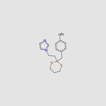 CCCc1ccc(CC2(CCn3ccnc3)SCCCS2)cc1